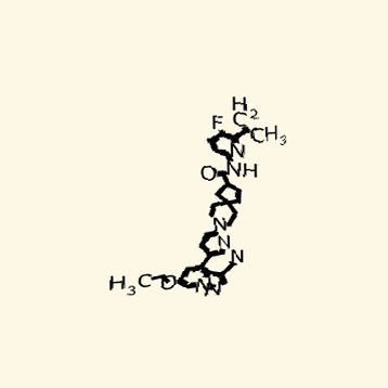 C=C(C)c1nc(NC(=O)C2CCC3(CCN(c4ccc(-c5cc(OCC)cn6ncc(C#N)c56)cn4)CC3)C2)ccc1F